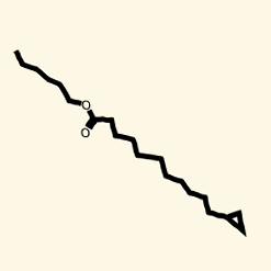 CCCCCCOC(=O)CCCCCCCCCCC1CC1